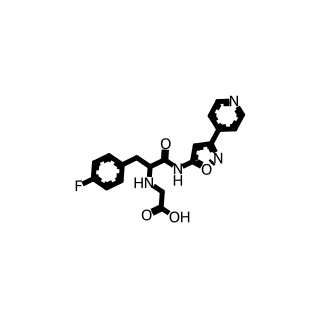 O=C(O)CNC(Cc1ccc(F)cc1)C(=O)Nc1cc(-c2ccncc2)no1